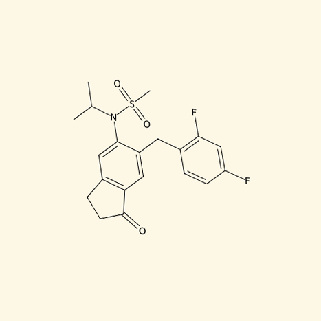 CC(C)N(c1cc2c(cc1Cc1ccc(F)cc1F)C(=O)CC2)S(C)(=O)=O